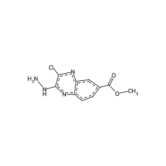 COC(=O)c1ccc2nc(NN)c(Cl)nc2c1